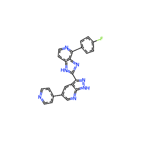 Fc1ccc(-c2nccc3[nH]c(-c4n[nH]c5ncc(-c6ccncc6)cc45)nc23)cc1